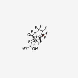 CCCC(O)COC1(F)C2(F)C(=O)C3(F)C(F)(F)C(F)(C2(F)F)C(F)(F)C1(F)C3(F)F